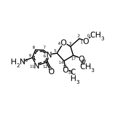 COCC1OC(n2ccc(N)nc2=O)C(OC)C1OC